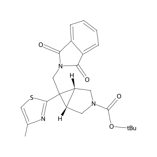 Cc1csc(C2(CN3C(=O)c4ccccc4C3=O)[C@@H]3CN(C(=O)OC(C)(C)C)C[C@@H]32)n1